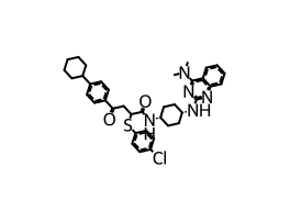 CN(C)c1nc(N[C@H]2CC[C@@H](NC(=O)C(CC(=O)c3ccc(C4CCCCC4)cc3)Sc3ccc(Cl)cc3)CC2)nc2ccccc12